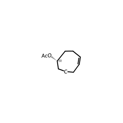 CC(=O)O[C@@H]1CCC=CCCC1